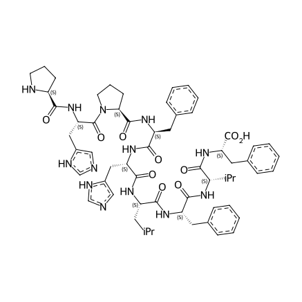 CC(C)C[C@H](NC(=O)[C@H](Cc1cnc[nH]1)NC(=O)[C@H](Cc1ccccc1)NC(=O)[C@@H]1CCCN1C(=O)[C@H](Cc1cnc[nH]1)NC(=O)[C@@H]1CCCN1)C(=O)N[C@@H](Cc1ccccc1)C(=O)N[C@H](C(=O)N[C@@H](Cc1ccccc1)C(=O)O)C(C)C